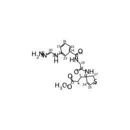 COC(=O)CCC1(NC(=O)CNC(=O)c2cccc(NC=NN)c2)C=CSC1